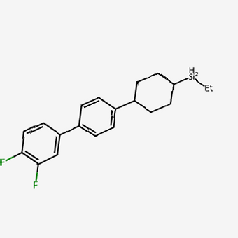 CC[SiH2]C1CCC(c2ccc(-c3ccc(F)c(F)c3)cc2)CC1